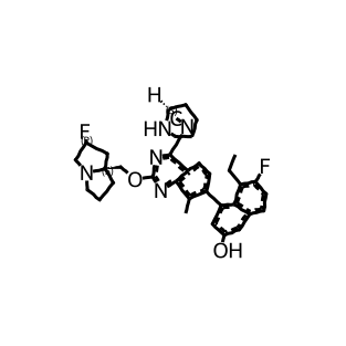 CCc1c(F)ccc2cc(O)cc(-c3ccc4c(N5C[C@@H]6CCC5CN6)nc(OC[C@@]56CCCN5C[C@H](F)C6)nc4c3C)c12